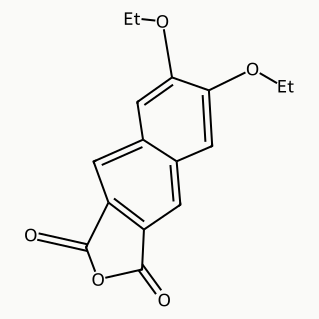 CCOc1cc2cc3c(cc2cc1OCC)C(=O)OC3=O